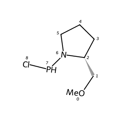 COC[C@H]1CCCN1PCl